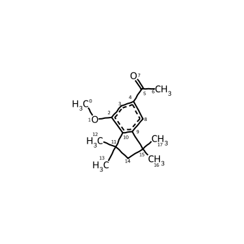 COc1cc(C(C)=O)cc2c1C(C)(C)CC2(C)C